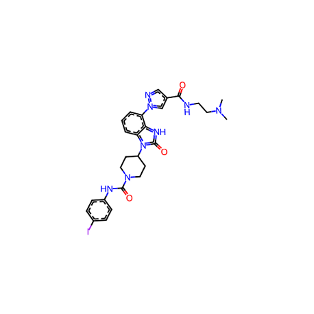 CN(C)CCNC(=O)c1cnn(-c2cccc3c2[nH]c(=O)n3C2CCN(C(=O)Nc3ccc(I)cc3)CC2)c1